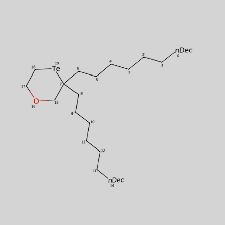 CCCCCCCCCCCCCCCCC1(CCCCCCCCCCCCCCCC)COCC[Te]1